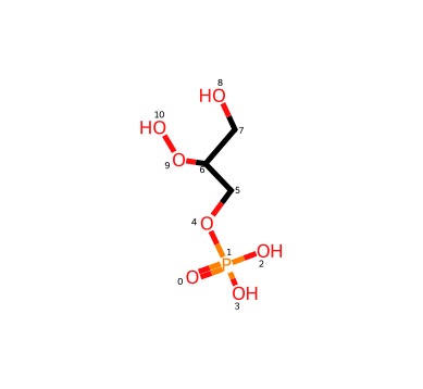 O=P(O)(O)OCC(CO)OO